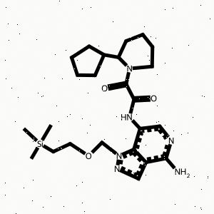 C[Si](C)(C)CCOCn1ncc2c(N)ncc(NC(=O)C(=O)N3CCCCC3C3CCCC3)c21